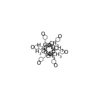 C[Si]1(CCC2CCC3OC3C2)O[Si](C)(CCC2CCC3OC3C2)O[Si](C)(CCC2CCC3OC3C2)O[Si](C)(CCC2CCC3OC3C2)O[Si](C)(CCC2CCC3OC3C2)O[Si](C)(CCC2CCC3OC3C2)O1